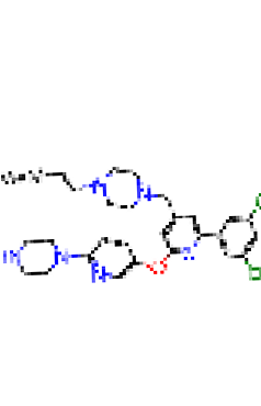 CNCCN1CCN(Cc2cc(Oc3ccc(N4CCNCC4)nc3)nc(-c3cc(Cl)cc(Cl)c3)c2)CC1